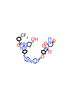 O=C1CCC(N2C(=O)c3ccc(OCCN4CCN(CN5CCN(Cc6ccc7c(c6)nc(NC(=O)c6cccc(C(F)(F)F)c6)n7[C@H]6CC[C@@H](CO)CC6)CC5)CC4)cc3C2=O)C(=O)N1